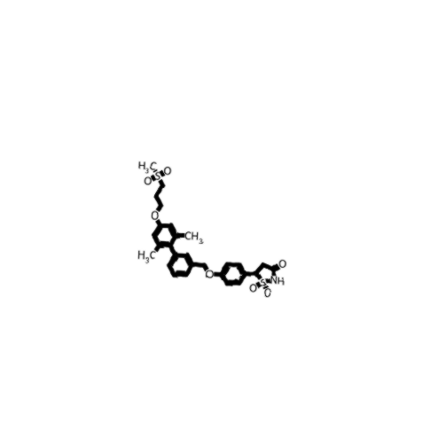 Cc1cc(OCCCS(C)(=O)=O)cc(C)c1-c1cccc(COc2ccc(C3CC(=O)NS3(=O)=O)cc2)c1